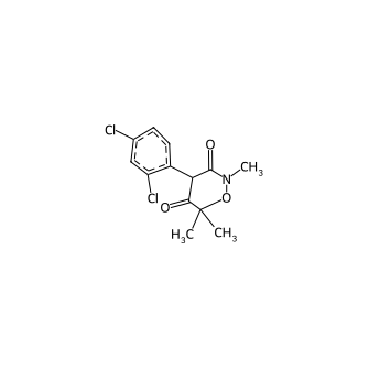 CN1OC(C)(C)C(=O)C(c2ccc(Cl)cc2Cl)C1=O